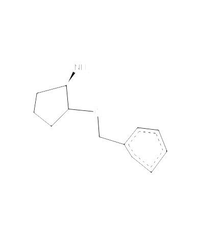 N[C@@H]1CCCC1OCc1ccccc1